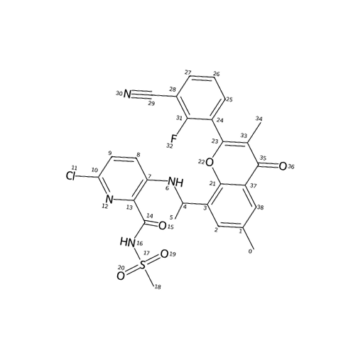 Cc1cc(C(C)Nc2ccc(Cl)nc2C(=O)NS(C)(=O)=O)c2oc(-c3cccc(C#N)c3F)c(C)c(=O)c2c1